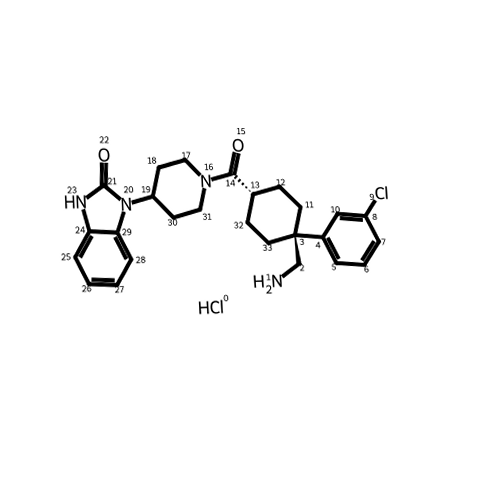 Cl.NC[C@]1(c2cccc(Cl)c2)CC[C@@H](C(=O)N2CCC(n3c(=O)[nH]c4ccccc43)CC2)CC1